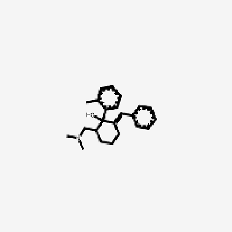 Cc1ccccc1C1(O)C(=Cc2ccccc2)CCCC1CN(C)C